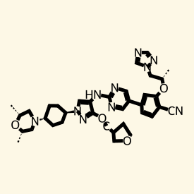 C[C@@H]1CN([C@H]2CC[C@H](n3cc(Nc4ncc(-c5ccc(C#N)c(O[C@@H](C)Cn6cncn6)c5)cn4)c(OCC4CCOC4)n3)CC2)C[C@H](C)O1